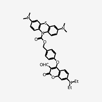 CCN(CC)c1ccc2c(Oc3ccc(COC(=O)N4c5ccc(N(C)C)cc5Sc5cc(N(C)C)ccc54)cc3)c(C=O)c(=O)oc2c1